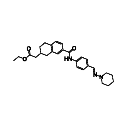 CCOC(=O)CC1CCc2ccc(C(=O)Nc3ccc(C=NN4CCCCC4)cc3)cc2C1